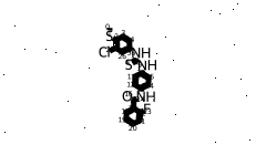 CSc1ccc(NC(=S)Nc2ccc(NC(=O)c3ccccc3F)cc2)cc1Cl